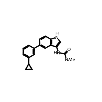 CNC(=O)Nc1c[nH]c2ccc(-c3cccc(C4CC4)c3)cc12